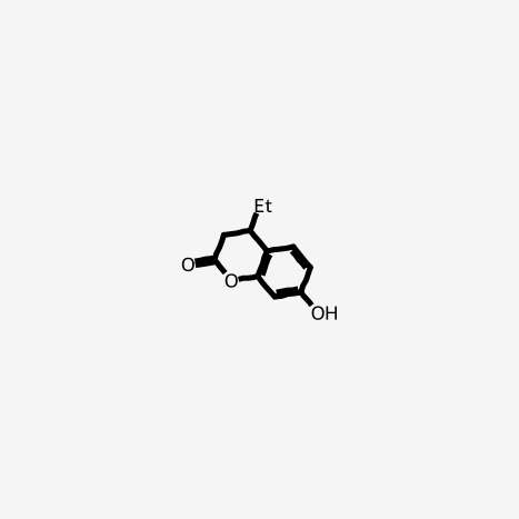 CCC1CC(=O)Oc2cc(O)ccc21